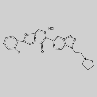 Cl.O=c1c2cc(-c3ccccc3F)oc2ccn1-c1ccc2c(cnn2CCN2CCCC2)c1